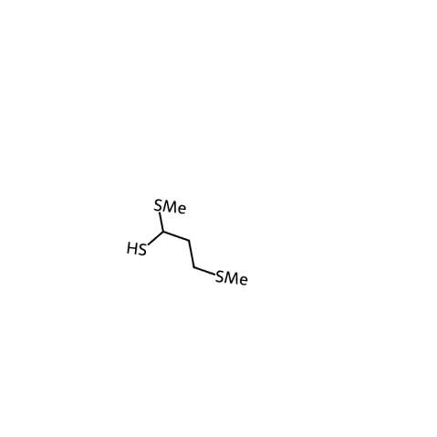 CSCCC(S)SC